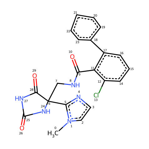 Cn1ccnc1C1(CNC(=O)c2c(Cl)cccc2-c2ccccc2)NC(=O)NC1=O